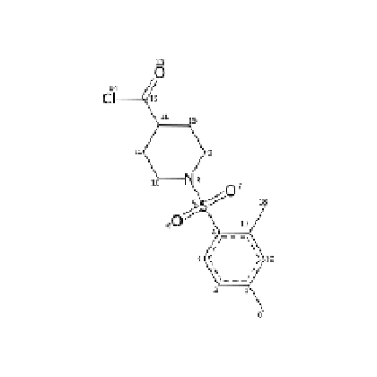 Cc1ccc(S(=O)(=O)N2CCC(C(=O)Cl)CC2)c(C)c1